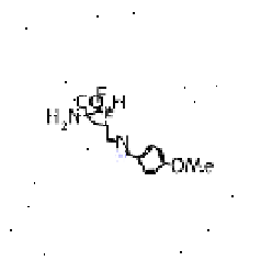 COc1ccc(/C=N/CCCC(N)(C(=O)O)C(F)F)cc1